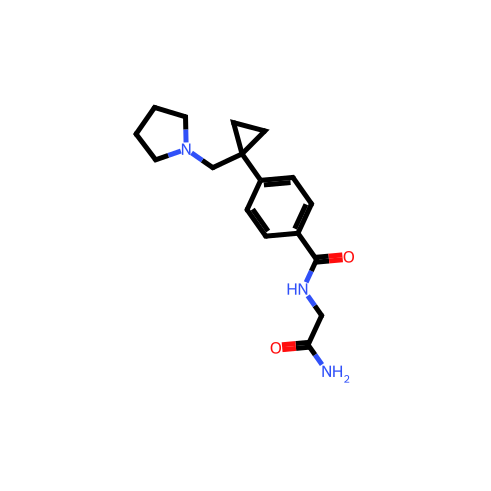 NC(=O)CNC(=O)c1ccc(C2(CN3CCCC3)CC2)cc1